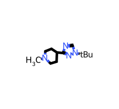 CN1CCC(c2ncn(C(C)(C)C)n2)CC1